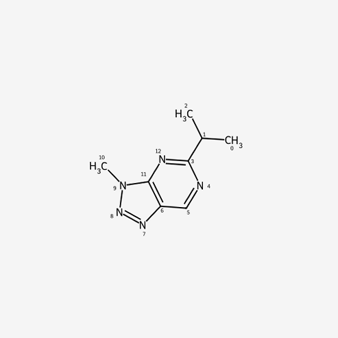 CC(C)c1ncc2nnn(C)c2n1